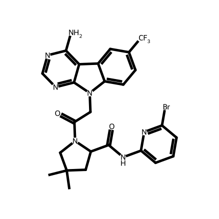 CC1(C)CC(C(=O)Nc2cccc(Br)n2)N(C(=O)Cn2c3ccc(C(F)(F)F)cc3c3c(N)ncnc32)C1